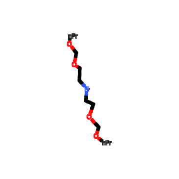 CCCOCOCC[N]CCOCOCCC